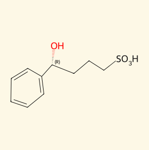 O=S(=O)(O)CCC[C@@H](O)c1ccccc1